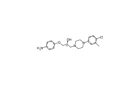 Cc1cc(N2CCN(C[C@H](O)COc3ccc(N)cc3)CC2)ccc1Cl